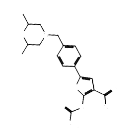 CC1CN(Cc2ccc(-c3cc(C(N)=O)c(NC(N)=O)s3)cc2)CC(C)O1